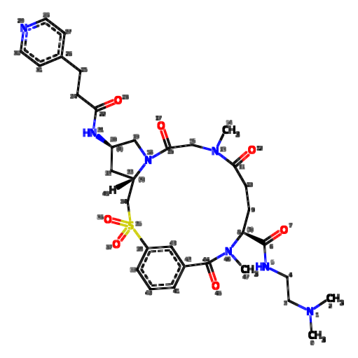 CN(C)CCNC(=O)[C@@H]1CCC(=O)N(C)CC(=O)N2C[C@H](NC(=O)CCc3ccncc3)C[C@H]2CS(=O)(=O)c2cccc(c2)C(=O)N1C